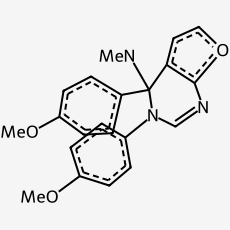 CNC1(c2ccc(OC)cc2)c2ccoc2N=CN1c1ccc(OC)cc1